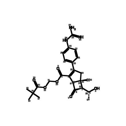 C[C@@H](O)[C@H]1C(=O)N2C(C(=O)OCOC(=O)C(C)(C)C)=C(c3ccc(NC(=N)N)cc3)C[C@H]12